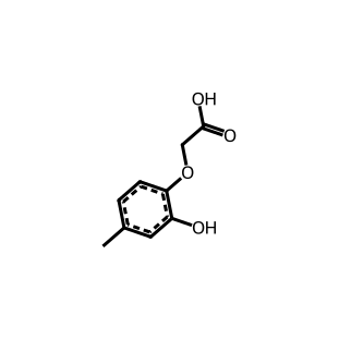 Cc1ccc(OCC(=O)O)c(O)c1